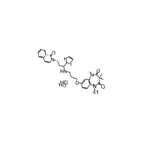 CCN1C(=O)C(C)(C)C(=O)N(C)c2cc(OCCCNC(CCn3ccc4ccccc4c3=O)c3nccs3)ccc21.Cl.Cl